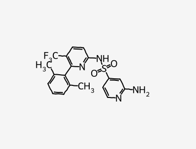 Cc1cccc(C)c1-c1nc(NS(=O)(=O)c2ccnc(N)c2)ccc1C(F)(F)F